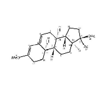 COC1=CC2=CC[C@@H]3[C@H](CC[C@@]4(C)[C@H]3CC[C@]4(OC(C)=O)C(C)=O)[C@H]2CC1